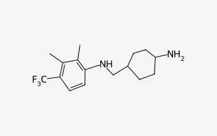 Cc1c(NCC2CCC(N)CC2)ccc(C(F)(F)F)c1C